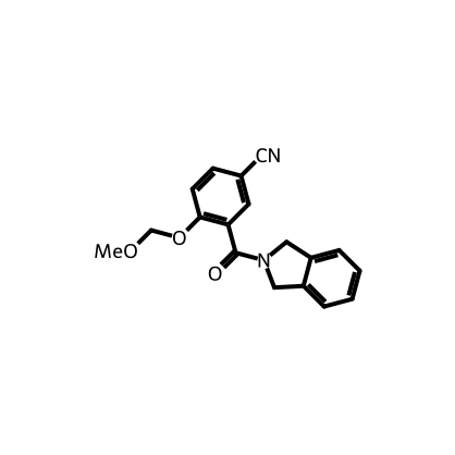 COCOc1ccc(C#N)cc1C(=O)N1Cc2ccccc2C1